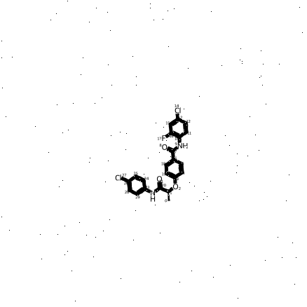 C[C@H](Oc1ccc(C(=O)Nc2ccc(Cl)cc2F)cc1)C(=O)Nc1ccc(Cl)cc1